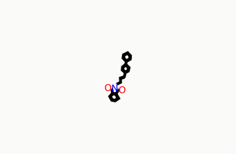 O=C1c2ccccc2C(=O)N1CCC=Cc1ccc(-c2ccccc2)cc1